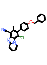 Cc1c(-c2ccc(OCc3ccccc3)cc2)c(Cl)c2c(nc3ccccn32)c1C#N